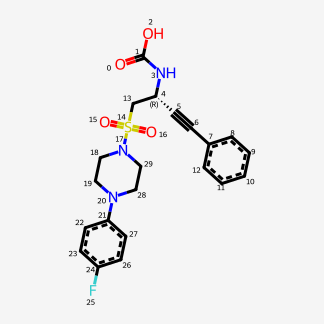 O=C(O)N[C@H](C#Cc1ccccc1)CS(=O)(=O)N1CCN(c2ccc(F)cc2)CC1